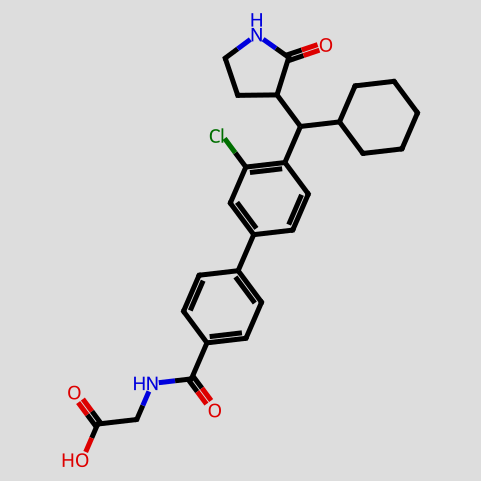 O=C(O)CNC(=O)c1ccc(-c2ccc(C(C3CCCCC3)C3CCNC3=O)c(Cl)c2)cc1